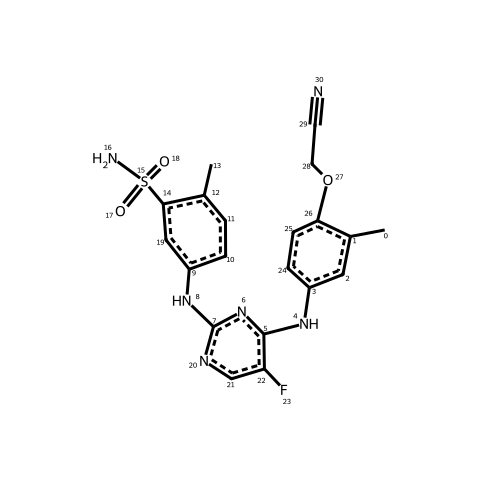 Cc1cc(Nc2nc(Nc3ccc(C)c(S(N)(=O)=O)c3)ncc2F)ccc1OCC#N